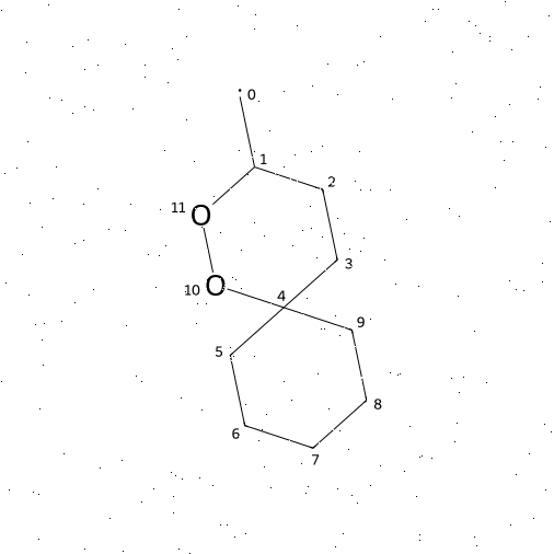 [CH2]C1CCC2(CCCCC2)OO1